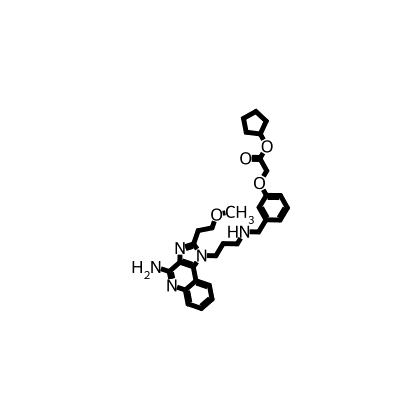 COCCc1nc2c(N)nc3ccccc3c2n1CCCNCc1cccc(OCC(=O)OC2CCCC2)c1